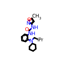 Cc1cc(NC(=O)Nc2ccccc2N(CC(C)C)C2CCCCC2)no1